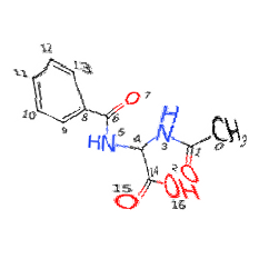 CC(=O)NC(NC(=O)c1ccccc1)C(=O)O